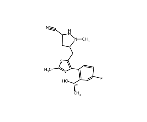 Cc1nc(-c2ccc(F)cc2[C@@H](C)O)c(CC2CC(C#N)NN2C)s1